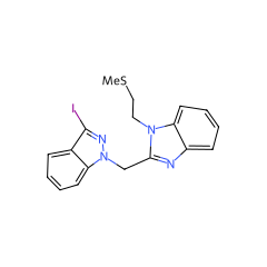 CSCCn1c(Cn2nc(I)c3ccccc32)nc2ccccc21